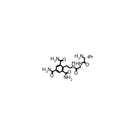 CC(C)[C@@H](N)C(=O)N[C@H](C)C(=O)NCCc1c(C(N)=O)cc(C(N)=O)cc1C(N)=O